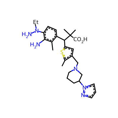 CCN(N)c1ccc(C(c2cc(CN3CCCC(n4cccn4)C3)c(C)s2)C(C)(C)C(=O)O)c(C)c1N